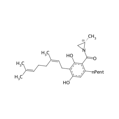 CCCCCc1cc(O)c(CC=C(C)CCC=C(C)C)c(O)c1C(=O)N1C[C@@H]1C